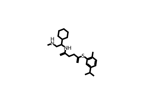 C=C(CCC(=C)Sc1cc(C(C)C)ccc1C)NC(CNC)C1CCCCC1